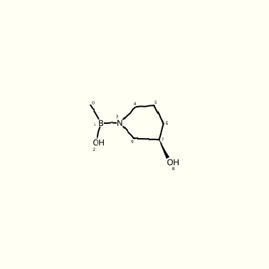 CB(O)N1CCC[C@@H](O)C1